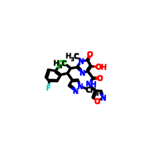 CC(c1nc(C(=O)Nc2cnoc2)c(O)c(=O)n1C)C(c1cnn(C)c1)c1cc(F)ccc1Cl